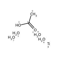 CC(=O)O.O.O.O.O.[Ti]